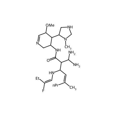 CCC/C(C)=C\C(N/C=C(/F)CC)C(C(=O)NC1CN=CC(OC)C1C1CNCN1C)C(N)N